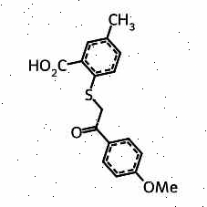 COc1ccc(C(=O)CSc2ccc(C)cc2C(=O)O)cc1